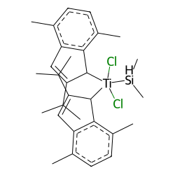 Cc1ccc(C)c2c1C=C(C(C)C)[CH]2[Ti]([Cl])([Cl])([CH]1C(C(C)C)=Cc2c(C)ccc(C)c21)[SiH](C)C